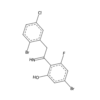 N=C(Cc1cc(Cl)ccc1Br)c1c(O)cc(Br)cc1F